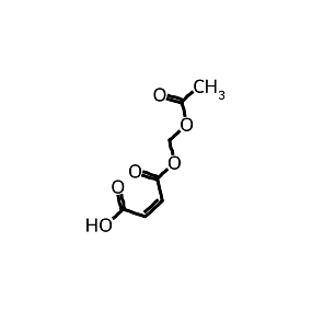 CC(=O)OCOC(=O)/C=C\C(=O)O